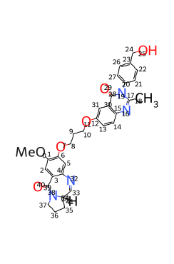 COc1cc2c(cc1OCCCOc1ccc3nc(C)n(-c4ccc(CO)cc4)c(=O)c3c1)N=C[C@@H]1CCCN1C2=O